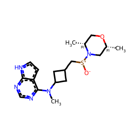 C[C@@H]1CN([S+]([O-])CC2CC(N(C)c3ncnc4[nH]ccc34)C2)[C@H](C)CO1